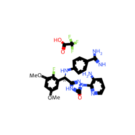 COc1cc(OC)c(F)c([C@H](Nc2ccc(C(=N)N)cc2)c2nn(-c3ncccc3N)c(=O)[nH]2)c1.O=C(O)C(F)(F)F